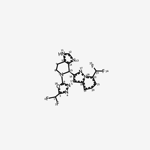 FC(F)c1nnc(N2CCc3[nH]cnc3[C@H]2c2cc3cccc(C(F)F)n3n2)o1